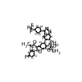 CNC(=O)c1c(-c2ccc(F)cc2)oc2cc(N(C)S(C)(=O)=O)c(-c3ccc4nnc(-c5ccc(C(F)(F)F)cc5)n4n3)cc12